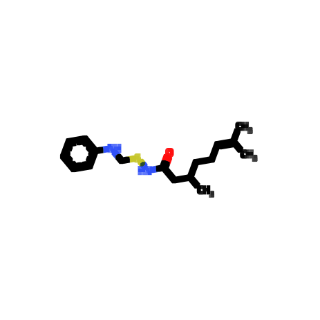 CC(C)=CCCC(C)CC(=O)NSCNc1ccccc1